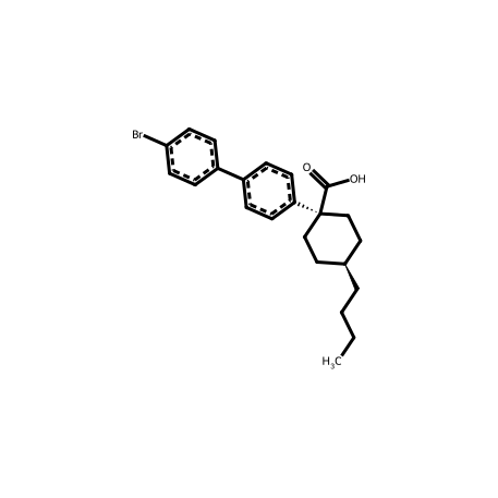 CCCC[C@H]1CC[C@](C(=O)O)(c2ccc(-c3ccc(Br)cc3)cc2)CC1